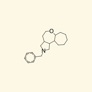 c1ccc(CN2CC3CCOC4CCCCCC4C3C2)cc1